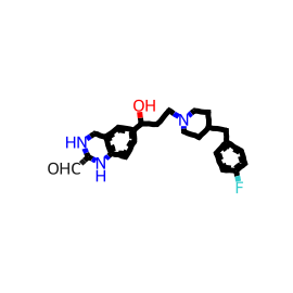 O=CC1NCc2cc(C(O)CCN3CCC(Cc4ccc(F)cc4)CC3)ccc2N1